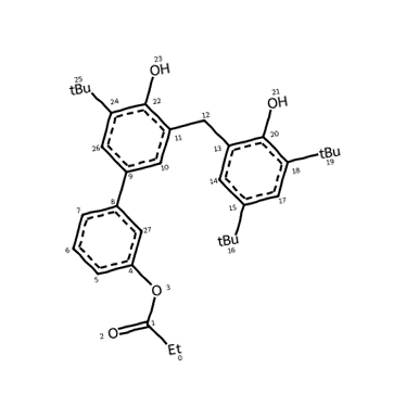 CCC(=O)Oc1cccc(-c2cc(Cc3cc(C(C)(C)C)cc(C(C)(C)C)c3O)c(O)c(C(C)(C)C)c2)c1